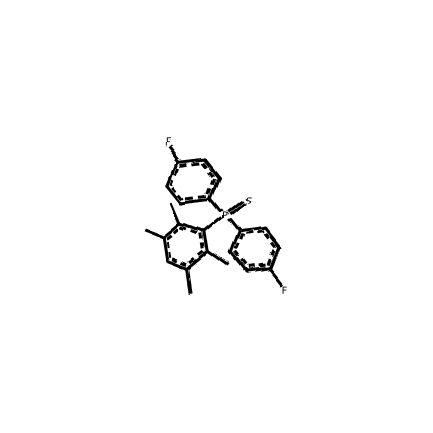 Cc1cc(C)c(C)c(P(=S)(c2ccc(F)cc2)c2ccc(F)cc2)c1C